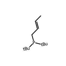 CC=CCP(C(C)(C)C)C(C)(C)C